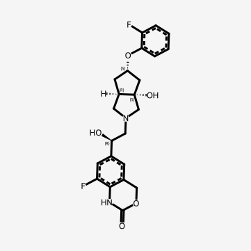 O=C1Nc2c(F)cc([C@@H](O)CN3C[C@H]4C[C@H](Oc5ccccc5F)C[C@@]4(O)C3)cc2CO1